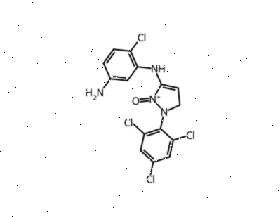 Nc1ccc(Cl)c(NC2=CCN(c3c(Cl)cc(Cl)cc3Cl)[N+]2=O)c1